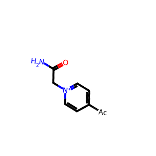 CC(=O)c1cc[n+](CC(N)=O)cc1